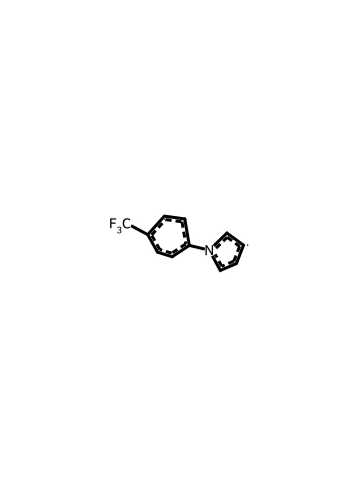 FC(F)(F)c1ccc(-n2c[c]cc2)cc1